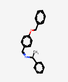 C[C@H](/N=C\c1ccc(OCc2ccccc2)cc1)c1ccccc1